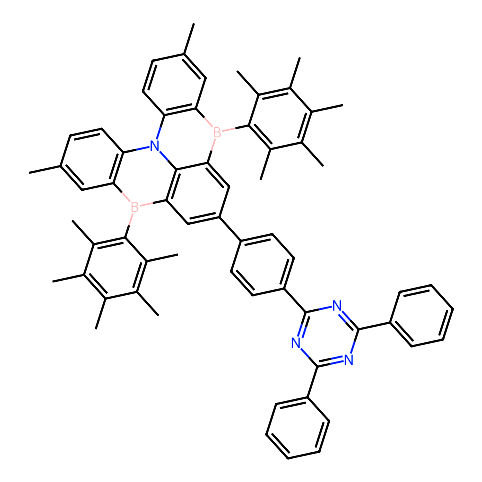 Cc1ccc2c(c1)B(c1c(C)c(C)c(C)c(C)c1C)c1cc(-c3ccc(-c4nc(-c5ccccc5)nc(-c5ccccc5)n4)cc3)cc3c1N2c1ccc(C)cc1B3c1c(C)c(C)c(C)c(C)c1C